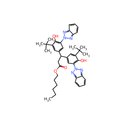 CCCCCCOC(=O)CC(c1cc(-n2nc3ccccc3n2)c(O)c(C(C)(C)C)c1)c1cc(-n2nc3ccccc3n2)c(O)c(C(C)(C)C)c1